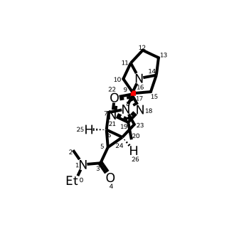 CCN(C)C(=O)C1[C@H]2CN(C3CC4CCC(C3)N4c3nc(C)no3)C[C@@H]12